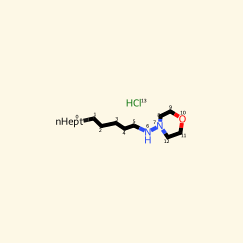 CCCCCCCCCCCCNN1CCOCC1.Cl